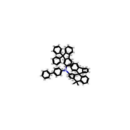 CC1(C)c2ccccc2C2(c3ccccc3-c3ccccc32)c2cc(N(c3ccc(-c4ccccc4)cc3)c3ccc4c(c3)C(c3ccccc3)(c3ccccc3)c3ccccc3-4)ccc21